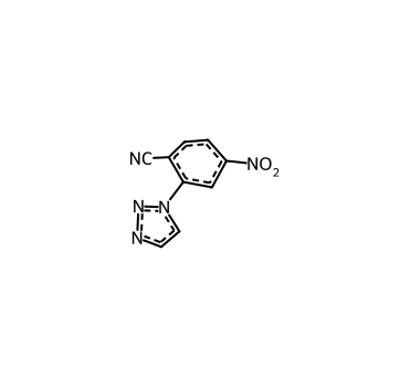 N#Cc1ccc([N+](=O)[O-])cc1-n1ccnn1